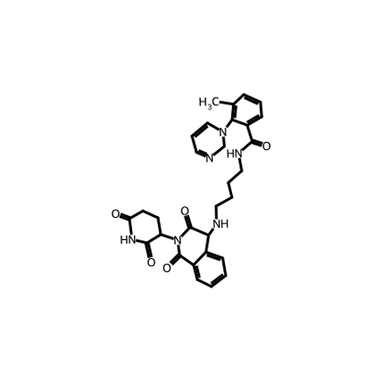 Cc1cccc(C(=O)NCCCCNC2C(=O)N(C3CCC(=O)NC3=O)C(=O)c3ccccc32)c1N1C=CC=NC1